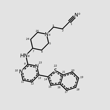 N#CCCN1CCC(Nc2nccc(-c3cc4ccccc4s3)n2)CC1